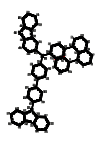 c1ccc(-c2cccc3cccc(-c4ccc(N(c5ccc(-c6ccc(-n7c8ccccc8c8ccccc87)cc6)cc5)c5ccc6sc7ccccc7c6c5)cc4)c23)cc1